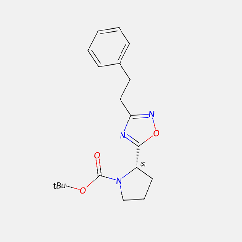 CC(C)(C)OC(=O)N1CCC[C@H]1c1nc(CCc2ccccc2)no1